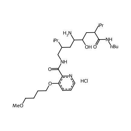 CCCCNC(=O)C(CC(O)C(N)CC(CNC(=O)c1ncccc1OCCCCOC)C(C)C)C(C)C.Cl